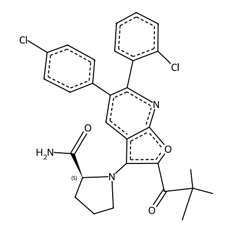 CC(C)(C)C(=O)c1oc2nc(-c3ccccc3Cl)c(-c3ccc(Cl)cc3)cc2c1N1CCC[C@H]1C(N)=O